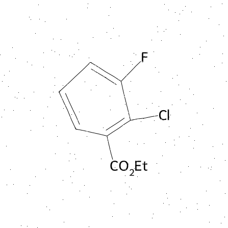 CCOC(=O)c1cccc(F)c1Cl